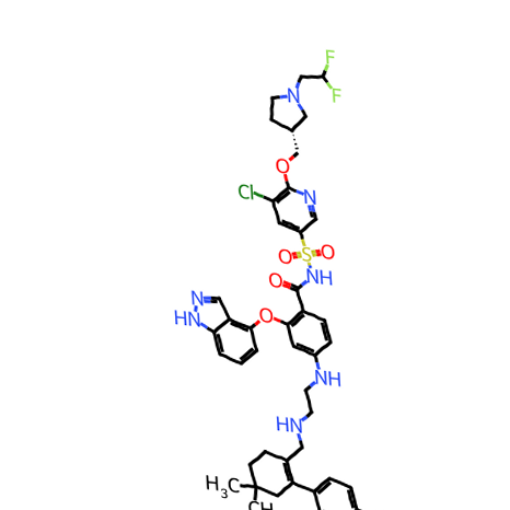 CC1(C)CCC(CNCCNc2ccc(C(=O)NS(=O)(=O)c3cnc(OC[C@@H]4CCN(CC(F)F)C4)c(Cl)c3)c(Oc3cccc4[nH]ncc34)c2)=C(c2ccc(Cl)cc2)C1